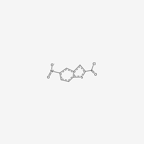 O=C(Cl)c1cc2cc([N+](=O)[O-])ccc2s1